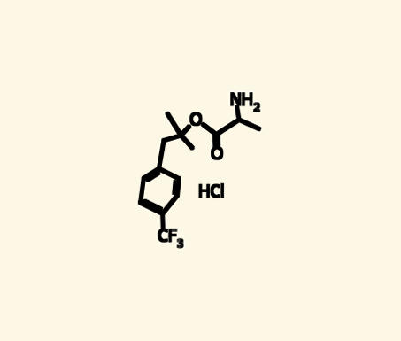 CC(N)C(=O)OC(C)(C)Cc1ccc(C(F)(F)F)cc1.Cl